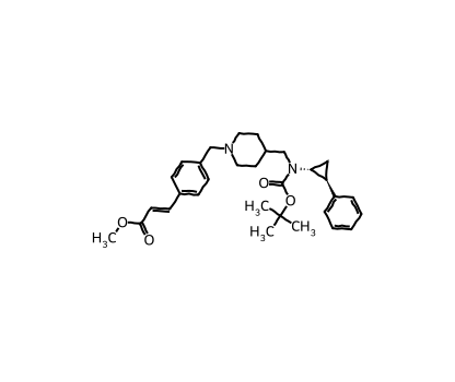 COC(=O)/C=C/c1ccc(CN2CCC(CN(C(=O)OC(C)(C)C)[C@@H]3C[C@H]3c3ccccc3)CC2)cc1